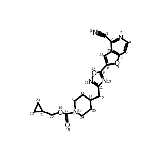 N#Cc1nccc2oc(-c3nc(CC4CCN(C(=O)OCC5CC5)CC4)no3)cc12